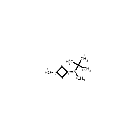 CN([C@H]1C[C@H](O)C1)C(C)(C)C